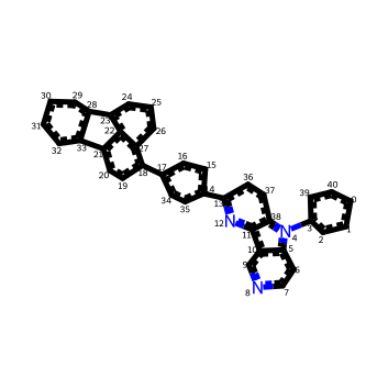 c1ccc(-n2c3ccncc3c3nc(-c4ccc(-c5ccc6c7c(cccc57)-c5ccccc5-6)cc4)ccc32)cc1